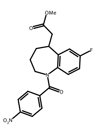 COC(=O)CC1CCCN(C(=O)c2ccc([N+](=O)[O-])cc2)c2ccc(F)cc21